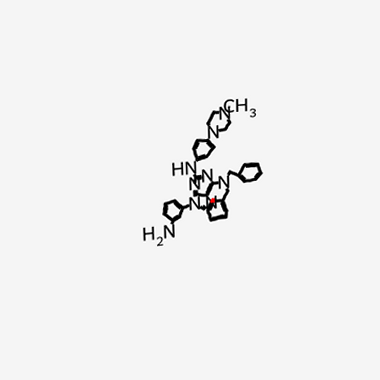 CN1CCN(c2ccc(Nc3nc(N(Cc4ccccc4)Cc4ccccc4)c4ncn(-c5cccc(N)c5)c4n3)cc2)CC1